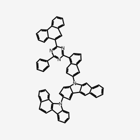 c1ccc(-c2nc(-c3cccc4cc(-n5c6ccc(-n7c8ccccc8c8ccc9ccccc9c87)cc6c6cc7ccccc7cc65)ccc34)nc(-c3cc4ccccc4c4ccccc34)n2)cc1